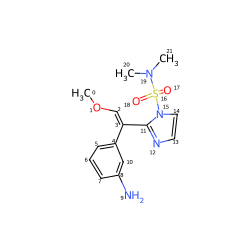 COC=C(c1cccc(N)c1)c1nccn1S(=O)(=O)N(C)C